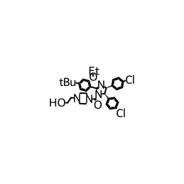 CCOc1cc(C(C)(C)C)ccc1C1=N[C@@H](c2ccc(Cl)cc2)[C@@H](c2ccc(Cl)cc2)N1C(=O)N1CCN(CCO)CC1